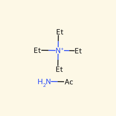 CC(N)=O.CC[N+](CC)(CC)CC